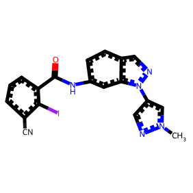 Cn1cc(-n2ncc3ccc(NC(=O)c4cccc(C#N)c4I)cc32)cn1